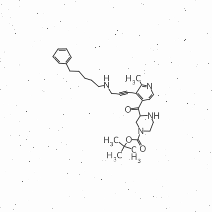 Cc1nccc(C(=O)C2CN(C(=O)OC(C)(C)C)CCN2)c1C#CCNCCCCCc1ccccc1